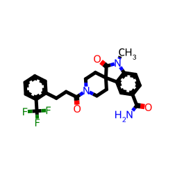 CN1C(=O)C2(CCN(C(=O)CCc3ccccc3C(F)(F)F)CC2)c2cc(C(N)=O)ccc21